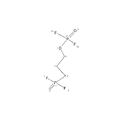 C=P(F)(F)CCCOP(=O)(F)F